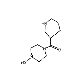 O=C(C1CCCNC1)N1CCN(S)CC1